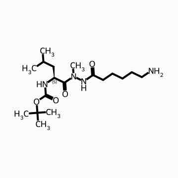 CC(C)C[C@H](NC(=O)OC(C)(C)C)C(=O)N(C)NC(=O)CCCCCN